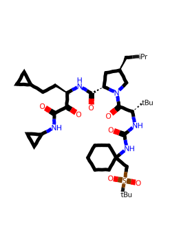 CC(C)C[C@@H]1C[C@@H](C(=O)N[C@H](CCC2CC2)C(=O)C(=O)NC2CC2)N(C(=O)[C@@H](NC(=O)NC2(CS(=O)(=O)C(C)(C)C)CCCCC2)C(C)(C)C)C1